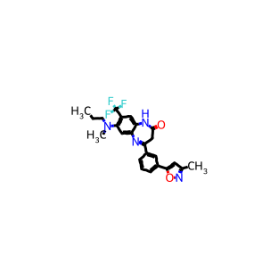 CCCN(C)c1cc2c(cc1C(F)(F)F)NC(=O)CC(c1cccc(-c3cc(C)no3)c1)=N2